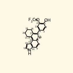 Oc1ccc(-c2nc3ccc4[nH]ccc4c3c3c2CCCC3)cc1OC(F)(F)F